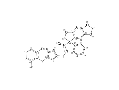 O=C1N(Cc2cn(Cc3c(F)cccc3F)nn2)c2ccccc2C12COc1cc3c(cc12)OCO3